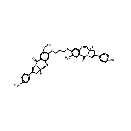 COc1cc2c(cc1OCCCOc1cc3c(cc1C)C(=O)N1C=C(c4ccc(N)cc4)C[C@H]1C=N3)N=C[C@@H]1CC(c3ccc(C)cc3)=CN1C2=O